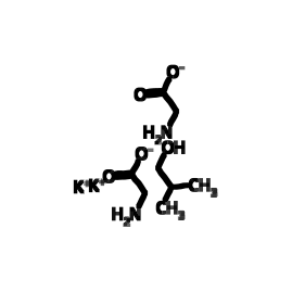 CC(C)CO.NCC(=O)[O-].NCC(=O)[O-].[K+].[K+]